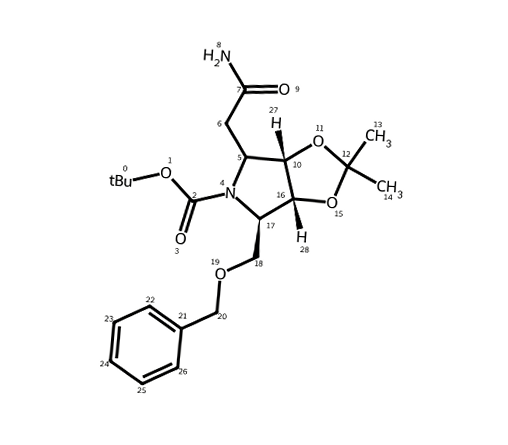 CC(C)(C)OC(=O)N1C(CC(N)=O)[C@@H]2OC(C)(C)O[C@@H]2[C@H]1COCc1ccccc1